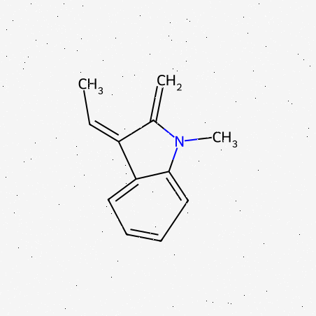 C=c1/c(=C\C)c2ccccc2n1C